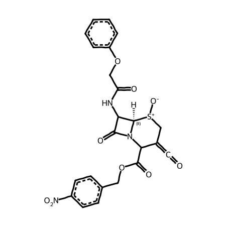 O=C=C1C[S+]([O-])[C@@H]2C(NC(=O)COc3ccccc3)C(=O)N2C1C(=O)OCc1ccc([N+](=O)[O-])cc1